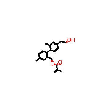 C=C(C)C(=O)OCc1cc(C)ccc1-c1ccc(CCO)cc1C